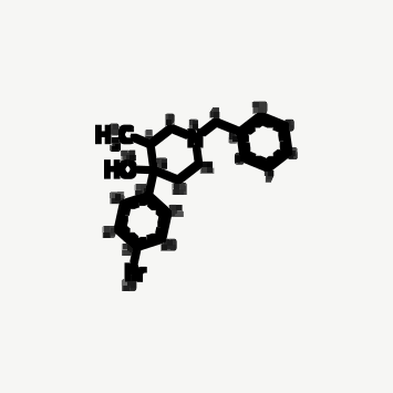 CC1CN(Cc2ccccc2)CCC1(O)c1ccc(Br)cc1